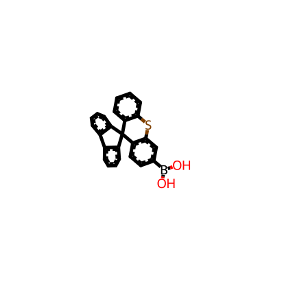 OB(O)c1ccc2c(c1)Sc1ccccc1C21c2ccccc2-c2ccccc21